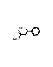 COC(=O)C[C@@H](C(=O)O)c1ccccc1